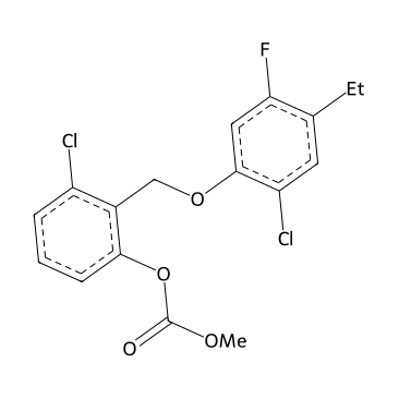 CCc1cc(Cl)c(OCc2c(Cl)cccc2OC(=O)OC)cc1F